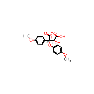 COc1ccc(O[C@@](C(=O)O)(c2ccc(OC)cc2)[C@H](O)C(=O)O)cc1